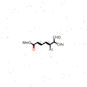 COC(=O)/C=C/C=C(\C(C)=O)C(C=O)OC(C)=O